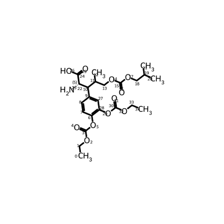 CCOC(=O)Oc1ccc(C(C(C)COC(=O)OCC(C)C)[C@H](N)C(=O)O)cc1OC(=O)OCC